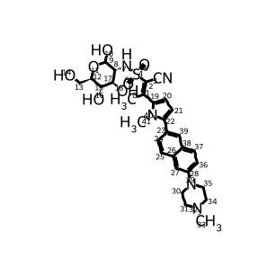 C/C(=C(/C#N)S(=O)(=O)N[C@H]1C(O)O[C@H](CO)[C@@H](O)[C@@H]1O)c1ccc(-c2ccc3cc(N4CCN(C)CC4)ccc3c2)n1C